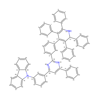 c1ccc(C2=C(c3ccccc3)C(c3cccc(-c4nc(-c5ccccc5)cc(-c5cccc(-n6c7ccccc7c7ccccc76)c5)n4)c3)=C(c3ccccc3)C(c3ccccc3)N2)cc1